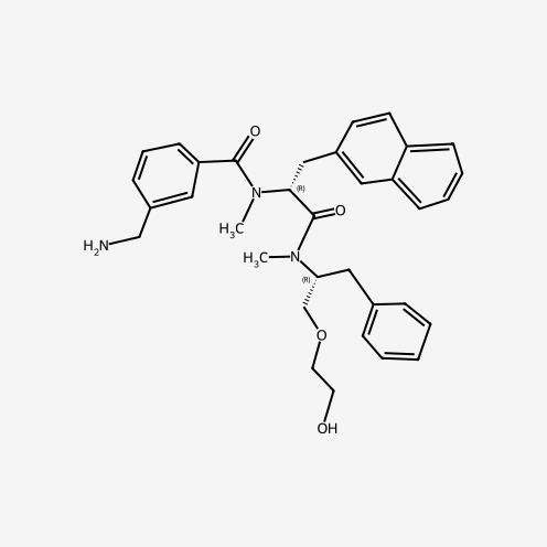 CN(C(=O)[C@@H](Cc1ccc2ccccc2c1)N(C)C(=O)c1cccc(CN)c1)[C@@H](COCCO)Cc1ccccc1